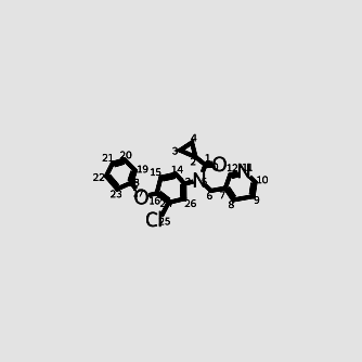 O=C(C1CC1)N(Cc1cccnc1)c1ccc(Oc2ccccc2)c(Cl)c1